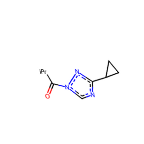 CC(C)C(=O)n1cnc(C2CC2)n1